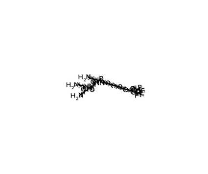 NCCCCC(NC(=O)CCCN)C(=O)NCC(=O)NC(CCCCN)C(=O)NCCOCCOCCOCCOCCC(=O)Oc1c(F)c(F)c(F)c(F)c1F